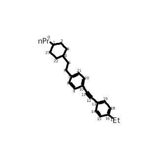 CCCC1CCC(CCc2ccc(C#Cc3ccc(CC)cc3)cc2)CC1